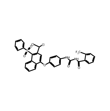 O=C(NC(=O)c1ccccc1C(F)(F)F)Nc1ccc(Oc2cc(C(Cl)Cl)c(S(=O)(=O)c3ccccc3)c3ccccc23)cc1